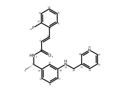 C[C@H](NC(=O)C=Cc1ccccc1F)c1cccc(NCc2cccnc2)c1